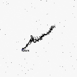 CCCCCC/C=C\CCCCCCCC(=O)OCCCCCCCCCCCCCCO